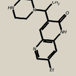 CCc1cnc2cc(C(C)N3CCNCC3)c(=O)[nH]c2c1